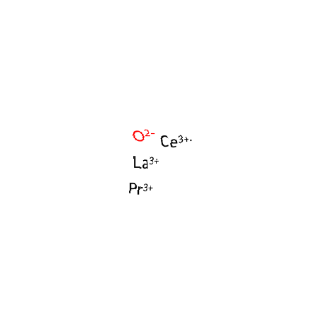 [Ce+3].[La+3].[O-2].[Pr+3]